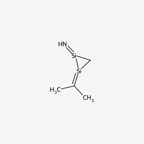 CC(C)=[Si]1C[Si]1=N